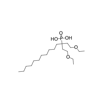 CCCCCCCCCCCC(CCOCC)(CCOCC)P(=O)(O)O